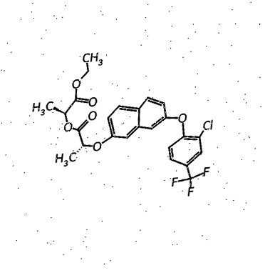 CCOC(=O)[C@H](C)OC(=O)[C@@H](C)Oc1ccc2ccc(Oc3ccc(C(F)(F)F)cc3Cl)cc2c1